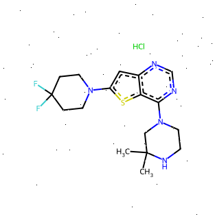 CC1(C)CN(c2ncnc3cc(N4CCC(F)(F)CC4)sc23)CCN1.Cl